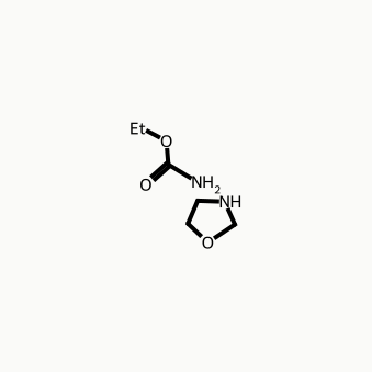 C1COCN1.CCOC(N)=O